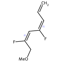 C=C/C=C(F)\C=C(\F)COC